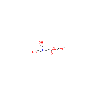 COCCOC(=O)CCN(CCO)CCO